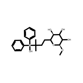 CO[C@H]1OC(CCC(C)(C)[Si](O)(c2ccccc2)c2ccccc2)[C@@H](O)C(O)C1O